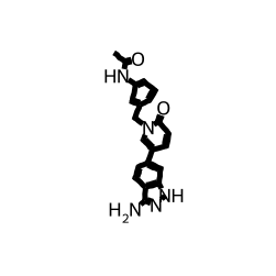 CC(=O)Nc1cccc(Cn2cc(-c3ccc4c(N)n[nH]c4c3)ccc2=O)c1